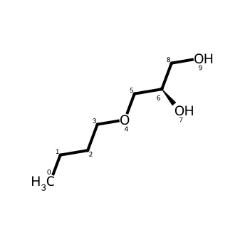 CCCCOC[C@H](O)CO